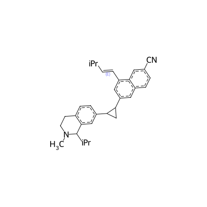 CC(C)/C=C/c1cc(C2CC2c2ccc3c(c2)C(C(C)C)N(C)CC3)cc2ccc(C#N)cc12